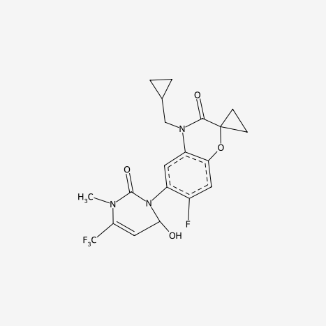 CN1C(=O)N(c2cc3c(cc2F)OC2(CC2)C(=O)N3CC2CC2)C(O)C=C1C(F)(F)F